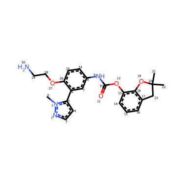 Cn1nccc1-c1cc(NC(=O)Oc2cccc3c2OC(C)(C)C3)ccc1OCCN